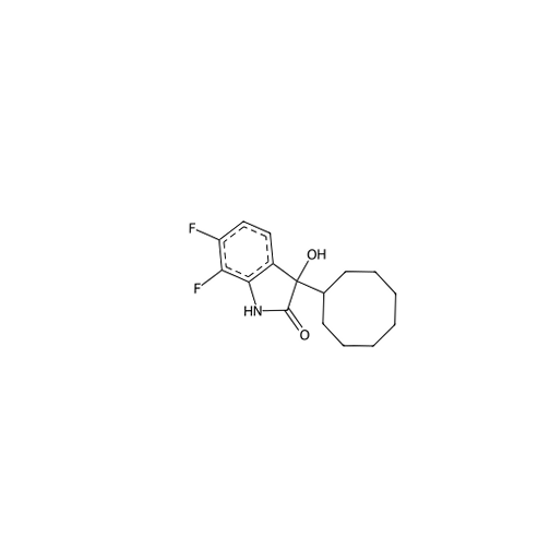 O=C1Nc2c(ccc(F)c2F)C1(O)C1CCCCCCC1